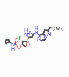 COCc1cc2c(Nc3cc([C@@H]4OC[C@H](OC(=O)NC56CC(C5)C6)[C@@H]4F)[nH]n3)nccn2n1